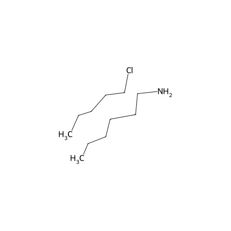 CCCCCCN.CCCCCCl